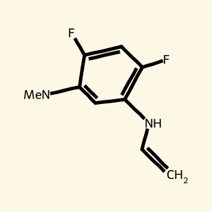 C=CNc1cc(NC)c(F)cc1F